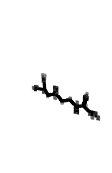 NC(=O)NCCNCC(F)F